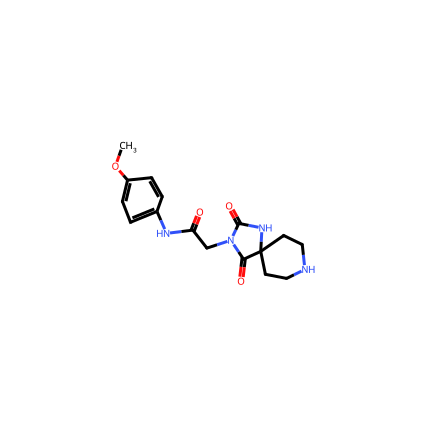 COc1ccc(NC(=O)CN2C(=O)NC3(CCNCC3)C2=O)cc1